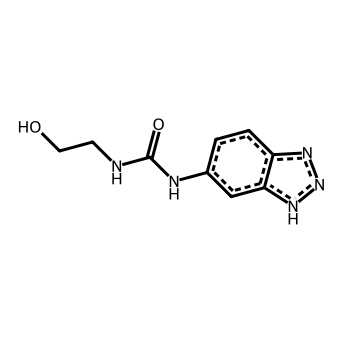 O=C(NCCO)Nc1ccc2nn[nH]c2c1